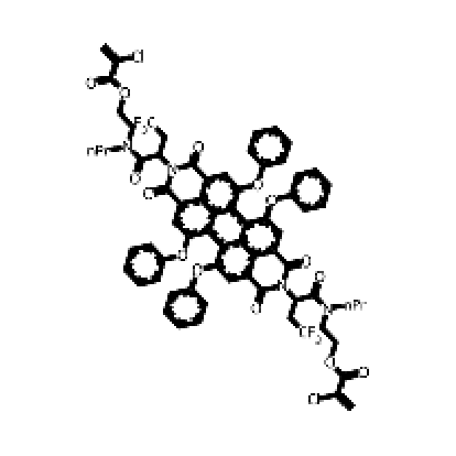 C=C(Cl)C(=O)OCCN(CCC)C(=O)C(CC(F)(F)F)N1C(=O)c2cc(Oc3ccccc3)c3c4c(Oc5ccccc5)cc5c6c(cc(Oc7ccccc7)c(c7c(Oc8ccccc8)cc(c2c37)C1=O)c64)C(=O)N(C(CC(F)(F)F)C(=O)N(CCC)CCOC(=O)C(=C)Cl)C5=O